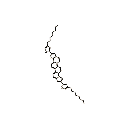 CCCCCCCCc1csc(-c2cc3ccc4c5ccc6c(ccc7cc(-c8cc(CCCCCCCC)cs8)sc76)c5ccc4c3s2)c1